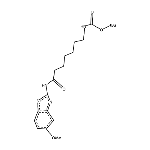 COc1ccc2sc(NC(=O)CCCCCCNC(=O)OC(C)(C)C)nc2c1